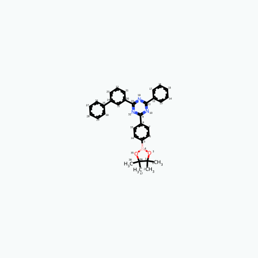 CC1(C)OB(c2ccc(-c3nc(-c4ccccc4)nc(-c4cccc(-c5ccccc5)c4)n3)cc2)OC1(C)C